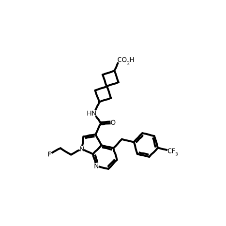 O=C(NC1CC2(C1)CC(C(=O)O)C2)c1cn(CCF)c2nccc(Cc3ccc(C(F)(F)F)cc3)c12